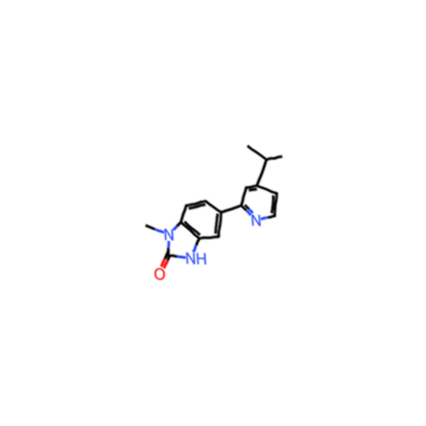 CC(C)c1ccnc(-c2ccc3c(c2)[nH]c(=O)n3C)c1